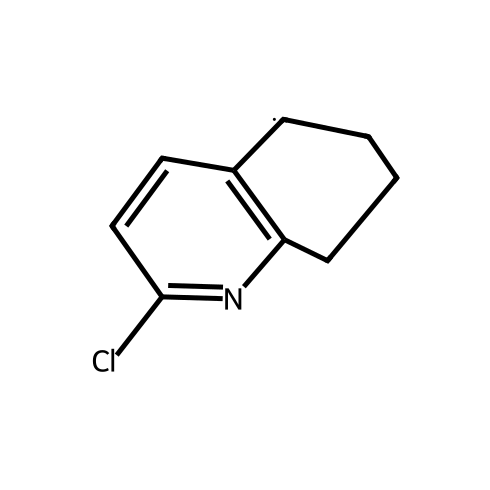 Clc1ccc2c(n1)CCC[CH]2